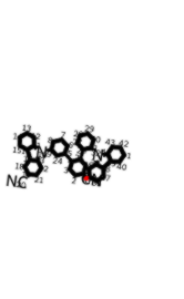 N#Cc1ccc(-c2cccc(-n3c4ccccc4c4cc(C#N)ccc43)c2)c(-c2ccccc2-n2c3ccccc3c3ccccc32)c1